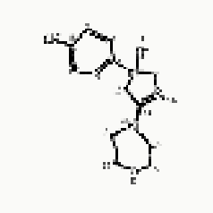 [O-][N+]1(c2ccc(Cl)cc2)CN=C(N2CCOCC2)C1